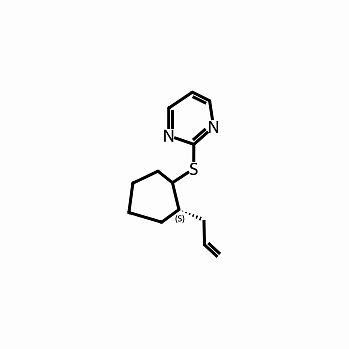 C=CC[C@@H]1CCCCC1Sc1ncccn1